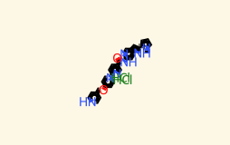 CN1CCC[C@@H]1c1cc2cnc(NC(=O)c3ccc(N4CCC(OCC5CCNCC5)CC4)nc3)cc2[nH]1.Cl.Cl